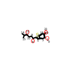 COc1cc2cc(C(=O)CCC(=O)C(C)C)sc2cc1OC